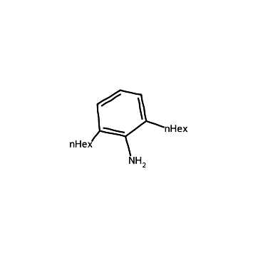 CCCCCCc1cccc(CCCCCC)c1N